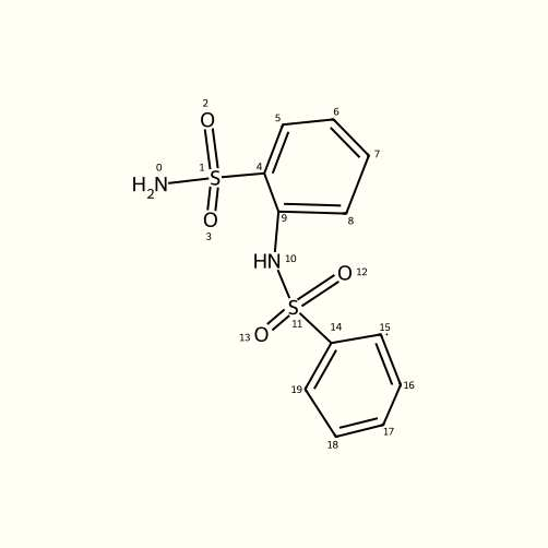 NS(=O)(=O)c1ccccc1NS(=O)(=O)c1[c]cccc1